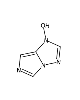 On1cnn2cncc12